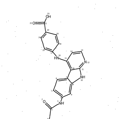 CC(=O)Nc1ccc2c(c1)[nH]c1nccc(Nc3ccc(C(=O)O)cc3)c12